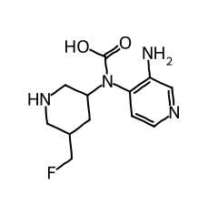 Nc1cnccc1N(C(=O)O)C1CNCC(CF)C1